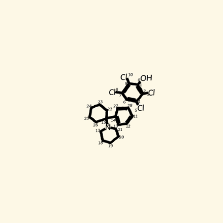 Oc1c(Cl)c(Cl)cc(Cl)c1Cl.c1ccc(C2(N3CCCCC3)CCCCC2)cc1